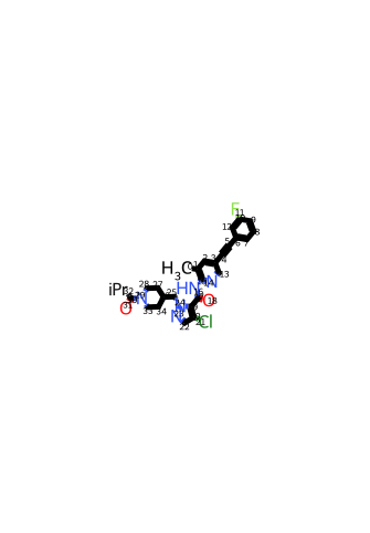 Cc1cc(C#Cc2cccc(F)c2)cnc1NC(=O)c1c(Cl)cnn1CC1CCN(C(=O)C(C)C)CC1